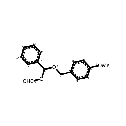 COc1ccc(COC(O[C]=O)c2ccccc2)cc1